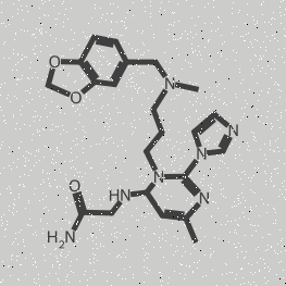 CC1=CC(NCC(N)=O)N(CCCN(C)Cc2ccc3c(c2)OCO3)C(n2ccnc2)=N1